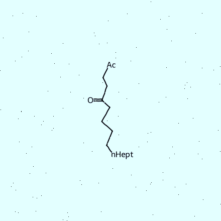 CCCCCCCCCCCC(=O)CCC(C)=O